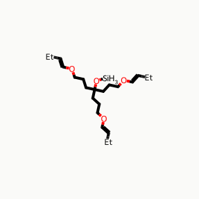 CCC=COCCCC(CCCOC=CCC)(CCCOC=CCC)O[SiH3]